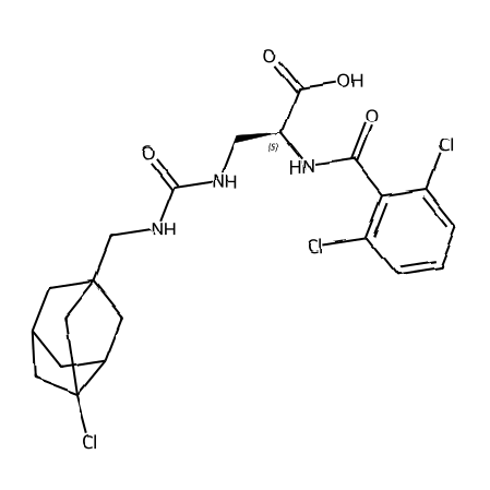 O=C(NC[C@H](NC(=O)c1c(Cl)cccc1Cl)C(=O)O)NCC12CC3CC(C1)C(Cl)(C3)C2